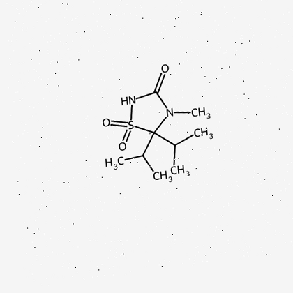 CC(C)C1(C(C)C)N(C)C(=O)NS1(=O)=O